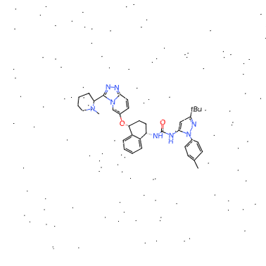 Cc1ccc(-n2nc(C(C)(C)C)cc2NC(=O)N[C@H]2CC[C@@H](Oc3ccc4nnc(C5CCCCN5C)n4c3)c3ccccc32)cc1